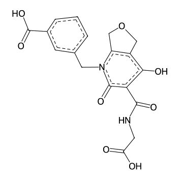 O=C(O)CNC(=O)c1c(O)c2c(n(Cc3cccc(C(=O)O)c3)c1=O)COC2